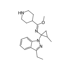 CCc1nn(C2(/N=C(\OC)C3CCNCC3)CC2C)c2ccccc12